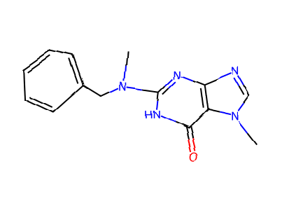 CN(Cc1ccccc1)c1nc2ncn(C)c2c(=O)[nH]1